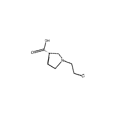 O=C(O)[C@H]1CCN(CCCl)C1